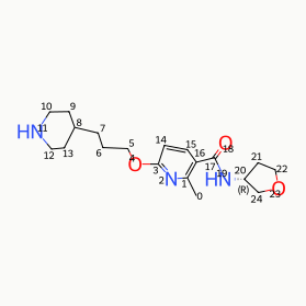 Cc1nc(OCCCC2CCNCC2)ccc1C(=O)N[C@@H]1CCOC1